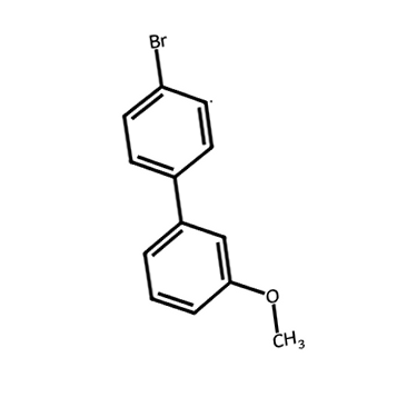 COc1cccc(-c2c[c]c(Br)cc2)c1